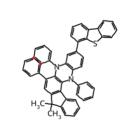 CC1(C)c2ccccc2-c2c1cc(-c1ccccc1)c1c2N(c2ccccc2)c2ccc(-c3cccc4c3sc3ccccc34)cc2N1c1ccccc1